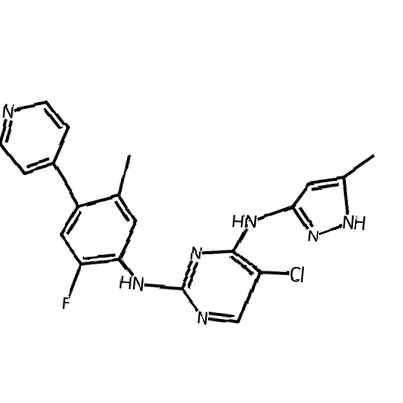 Cc1cc(Nc2nc(Nc3cc(C)c(-c4ccncc4)cc3F)ncc2Cl)n[nH]1